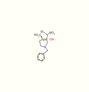 CCC([N+](=O)[O-])[C@@]1(O)CN(Cc2ccccc2)CC[C@H]1C(=O)O